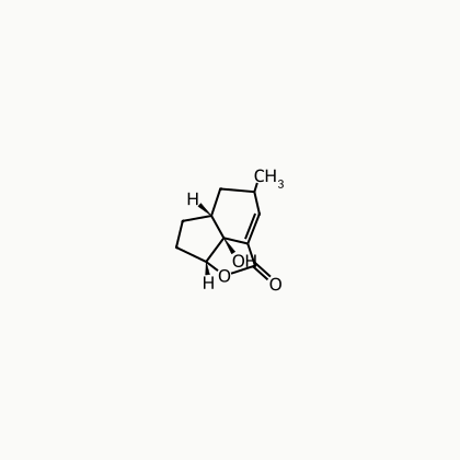 CC1C=C2C(=O)O[C@@H]3CC[C@H](C1)[C@]23O